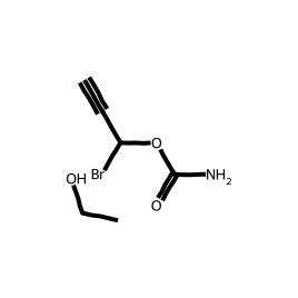 C#CC(Br)OC(N)=O.CCO